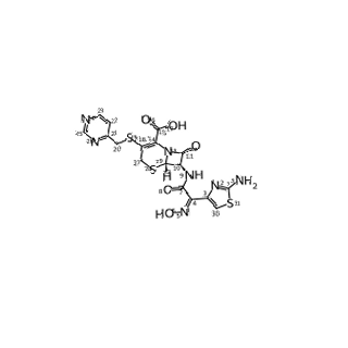 Nc1nc(/C(=N/O)C(=O)N[C@@H]2C(=O)N3C(C(=O)O)=C(SCc4ccncn4)CS[C@@H]23)cs1